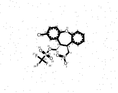 O=[N+]([O-])C[C@@H]1c2ccccc2Oc2ccc(Cl)cc2[C@H]1COS(=O)(=O)C(F)(F)F